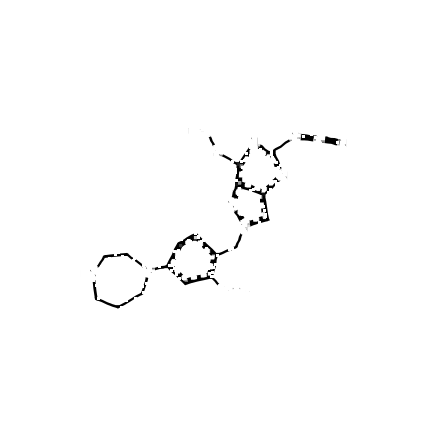 CCCCNc1nc(N=[N+]=[N-])nc2cn(Cc3ccc(N4CCCNCC4)cc3OC)nc12